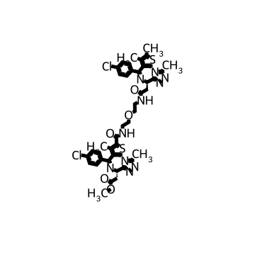 COC(=O)C[C@@H]1N=C(c2ccc(Cl)cc2)c2c(sc(C(=O)NCCOCCNC(=O)C[C@H]3N=C(c4ccc(Cl)cc4)c4c(sc(C)c4C)-n4c(C)nnc43)c2C)-n2c(C)nnc21